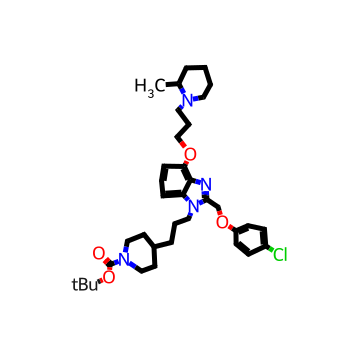 CC1CCCCN1CCCOc1cccc2c1nc(COc1ccc(Cl)cc1)n2CCCC1CCN(C(=O)OC(C)(C)C)CC1